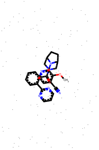 COc1c(C#N)ccnc1N1C2CCC1CN(C(=O)c1ccccc1-c1ncccn1)C2